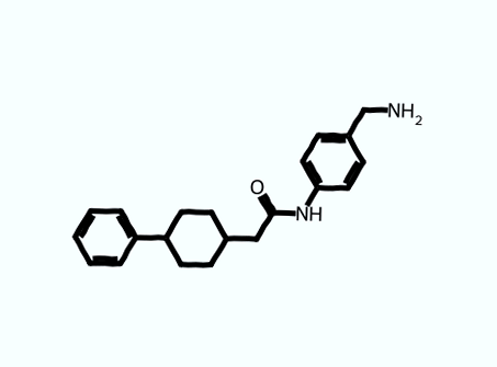 NCc1ccc(NC(=O)CC2CCC(c3ccccc3)CC2)cc1